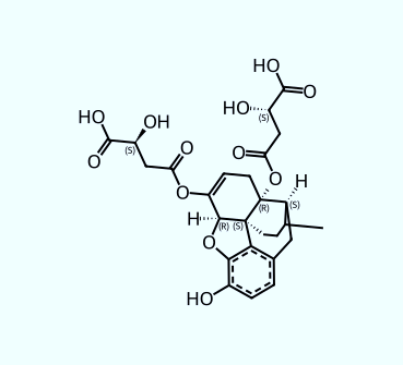 CC1CC[C@]23c4c5ccc(O)c4O[C@H]2C(OC(=O)C[C@H](O)C(=O)O)=CC[C@@]3(OC(=O)C[C@H](O)C(=O)O)[C@H]1C5